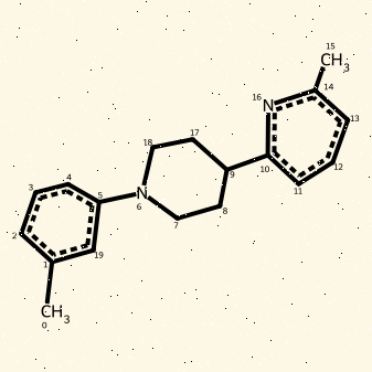 Cc1cccc(N2CCC(c3cccc(C)n3)CC2)c1